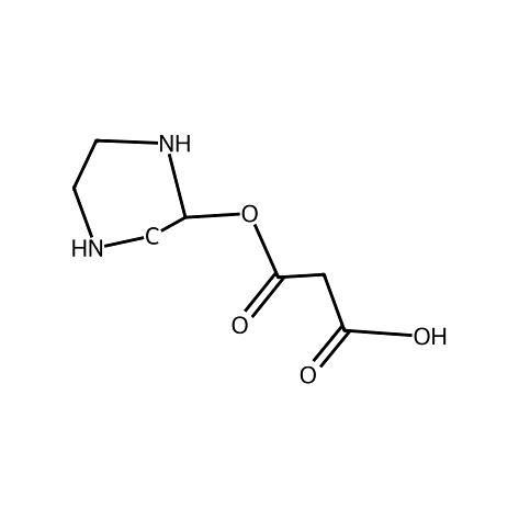 O=C(O)CC(=O)OC1CNCCN1